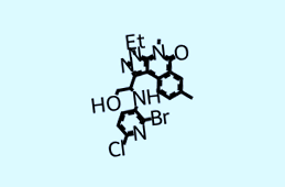 CCn1nc(C(CO)Nc2ccc(Cl)nc2Br)c2c3ccc(C)cc3c(=O)n(C)c21